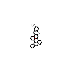 Brc1ccc2c(c1)Sc1ccc(-c3cccc4c3C(c3ccccc3)c3ccccc3C4)cc1S2